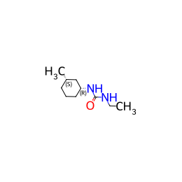 CCNC(=O)N[C@@H]1CCC[C@H](C)C1